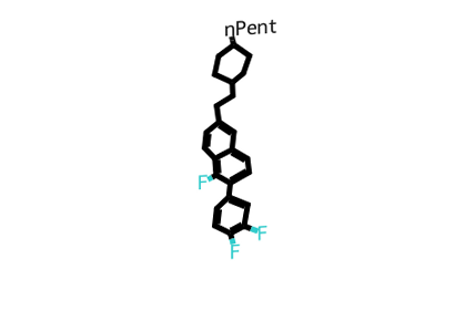 CCCCCC1CCC(CCc2ccc3c(F)c(-c4ccc(F)c(F)c4)ccc3c2)CC1